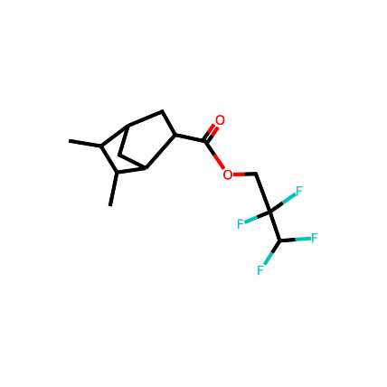 CC1C2CC(C(=O)OCC(F)(F)C(F)F)C(C2)C1C